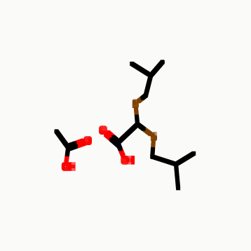 CC(=O)O.CC(C)CSC(SCC(C)C)C(=O)O